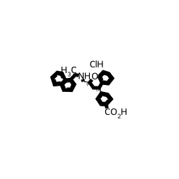 CC(NC[C@H]1C[C@@H](c2ccc(C(=O)O)cc2)c2ccccc2O1)c1cccc2ccccc12.Cl